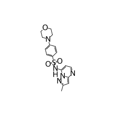 Cc1cc2nccc(NS(=O)(=O)c3ccc(N4CCOCC4)cc3)n2n1